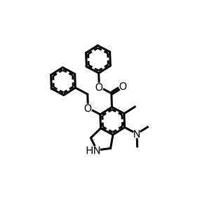 Cc1c(C(=O)Oc2ccccc2)c(OCc2ccccc2)c2c(c1N(C)C)CNC2